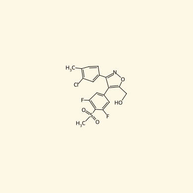 Cc1ccc(-c2noc(CO)c2-c2cc(F)c(S(C)(=O)=O)c(F)c2)cc1Cl